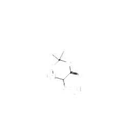 CC1(C)OC(=O)C(C(=O)O)NS1